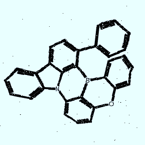 c1ccc(-c2ccc3c4ccccc4n4c3c2B2c3ccccc3Oc3cccc-4c32)cc1